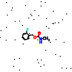 CNC(=O)OCc1ccccc1F